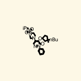 CCCCC1(C)CCC(Oc2c(N3CCN(S(=O)(=O)C(C)C)CC3)cnn(-c3ccccc3)c2=O)C1